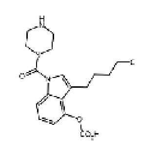 O=C(O)Oc1cccc2c1c(CCCCCl)cn2C(=O)N1CCNCC1